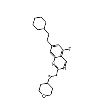 Fc1cc(CCC2CCCCC2)cc2nc(CSC3CCOCC3)ncc12